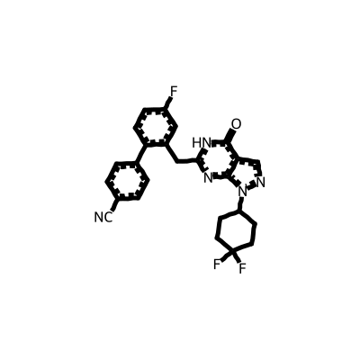 N#Cc1ccc(-c2ccc(F)cc2Cc2nc3c(cnn3C3CCC(F)(F)CC3)c(=O)[nH]2)cc1